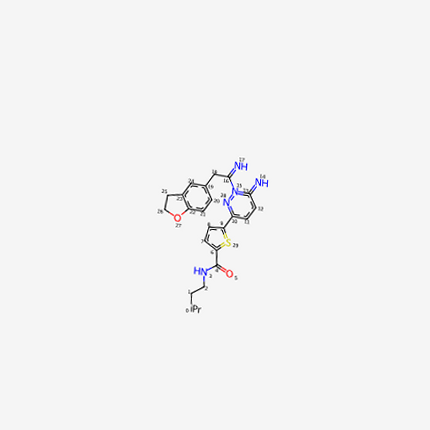 CC(C)CCNC(=O)c1ccc(-c2ccc(=N)n(C(=N)Cc3ccc4c(c3)CCO4)n2)s1